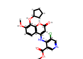 COC(=O)c1cncc(Cl)c1Nc1cc(=O)oc2c(OC3CCCC3)c(OC)ccc12